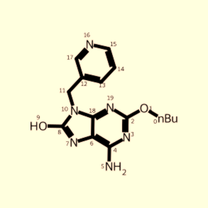 CCCCOc1nc(N)c2nc(O)n(Cc3cccnc3)c2n1